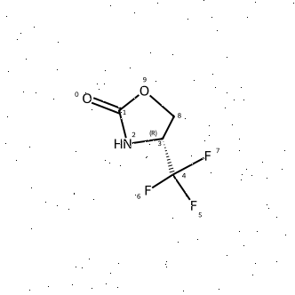 O=C1N[C@@H](C(F)(F)F)CO1